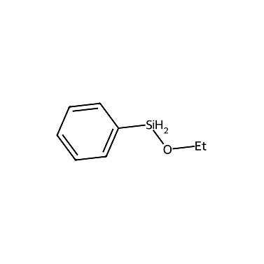 CCO[SiH2]c1ccccc1